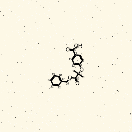 CC(C)(Oc1ccc(C(=O)O)cc1)C(=O)OCc1ccccc1